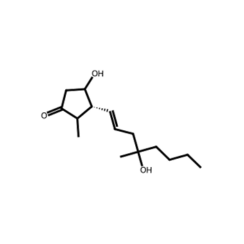 CCCCC(C)(O)C/C=C/[C@H]1C(O)CC(=O)C1C